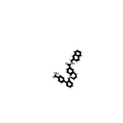 NC(=O)c1ccc(-c2ccccc2CN2CCCc3cc(C(=O)NCc4ccc5ccccc5c4)ccc32)cc1